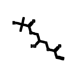 C=CC(=O)OCC(O)COC(=O)C(C)(C)Br